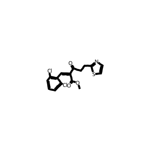 COC(=O)C(=Cc1c(Cl)cccc1Cl)C(=O)CCc1nccs1